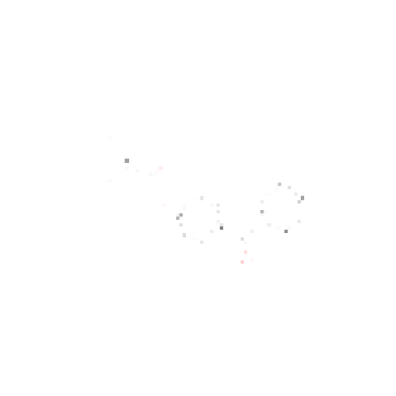 O=C(c1ccccc1)c1ccc(OC(=O)C(Cl)CCl)cc1